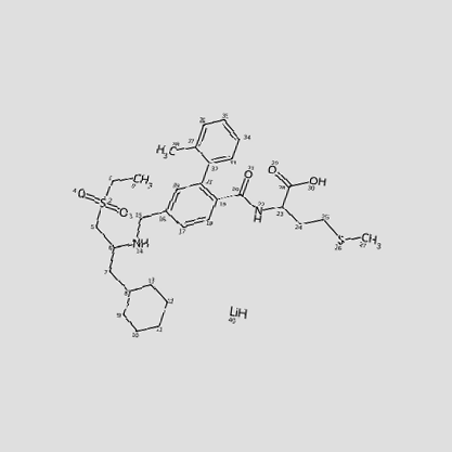 CCS(=O)(=O)CC(CC1CCCCC1)NCc1ccc(C(=O)NC(CCSC)C(=O)O)c(-c2ccccc2C)c1.[LiH]